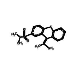 C/C(N)=C1/c2ccccc2Sc2ccc(S(=O)(=O)N(C)C)cc21